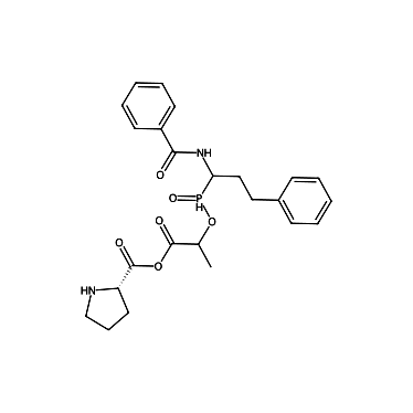 CC(O[PH](=O)C(CCc1ccccc1)NC(=O)c1ccccc1)C(=O)OC(=O)[C@@H]1CCCN1